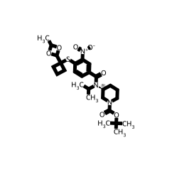 CC1OC(C2(Sc3ccc(C(=O)N(C(C)C)[C@@H]4CCCN(C(=O)OC(C)(C)C)C4)cc3[N+](=O)[O-])CCC2)O1